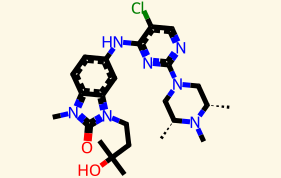 C[C@@H]1CN(c2ncc(Cl)c(Nc3ccc4c(c3)n(CCC(C)(C)O)c(=O)n4C)n2)C[C@H](C)N1C